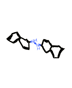 c1ccc2cc(NNc3ccc4ccccc4c3)ccc2c1